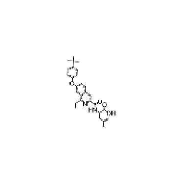 C=C(C)CC(NC(=O)c1cc2ccc(Oc3ccc(C(C)(C)C)cc3)cc2c(CC)n1)C(=O)O